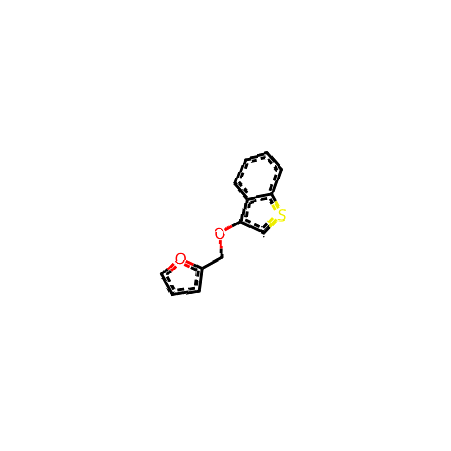 [c]1sc2ccccc2c1OCc1ccco1